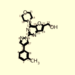 Cc1cccc(-c2cnn(-c3nc(N4CCOCC4)c4oc(CO)cc4n3)c2)c1